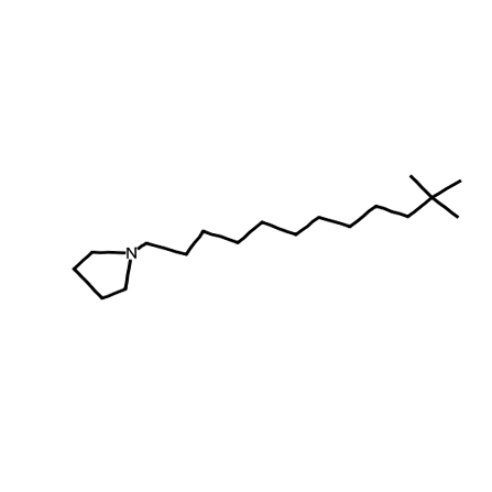 CC(C)(C)CCCCCCCCCCN1CCCC1